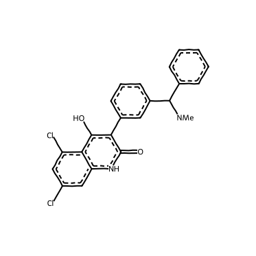 CNC(c1ccccc1)c1cccc(-c2c(O)c3c(Cl)cc(Cl)cc3[nH]c2=O)c1